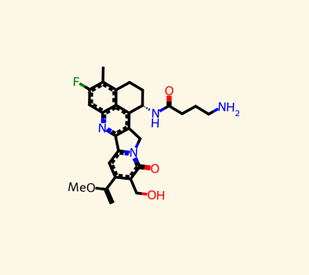 C=C(OC)c1cc2n(c(=O)c1CO)Cc1c-2nc2cc(F)c(C)c3c2c1[C@@H](NC(=O)CCCN)CC3